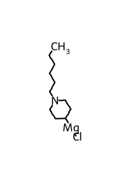 CCCCCCN1CC[CH]([Mg][Cl])CC1